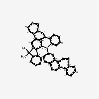 CC1(C)c2ccccc2-c2c(N(c3ccc4ccc5c6ccccc6ccc5c4c3)c3ccccc3-c3ccc4ccccc4c3)cccc21